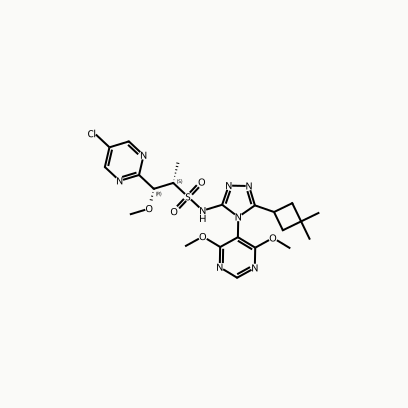 COc1ncnc(OC)c1-n1c(NS(=O)(=O)[C@@H](C)[C@H](OC)c2ncc(Cl)cn2)nnc1C1CC(C)(C)C1